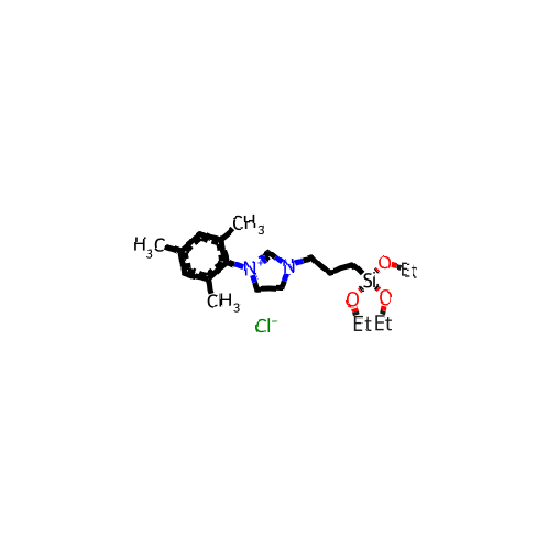 CCO[Si](CCCN1C=[N+](c2c(C)cc(C)cc2C)CC1)(OCC)OCC.[Cl-]